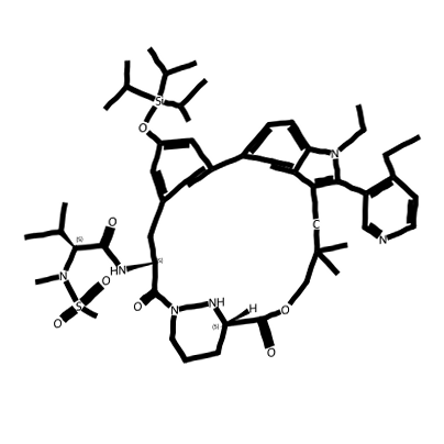 CCc1ccncc1-c1c2c3cc(ccc3n1CC)-c1cc(cc(O[Si](C(C)C)(C(C)C)C(C)C)c1)C[C@H](NC(=O)[C@H](C(C)C)N(C)S(C)(=O)=O)C(=O)N1CCC[C@H](N1)C(=O)OCC(C)(C)C2